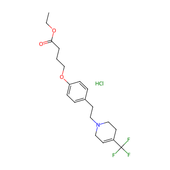 CCOC(=O)CCCOc1ccc(CCN2CC=C(C(F)(F)F)CC2)cc1.Cl